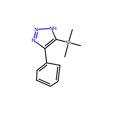 [CH3][Sn]([CH3])([CH3])[c]1[nH]nnc1-c1ccccc1